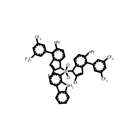 CCCc1ccc2c(c1-c1cc(C(F)(F)F)cc(C(F)(F)F)c1)C=C(CC)[CH]2[Zr]([Cl])([Cl])([c]1cccc2c1[SiH2]c1ccccc1-2)[CH]1C(CC)=Cc2c1ccc(CCC)c2-c1cc(C(F)(F)F)cc(C(F)(F)F)c1